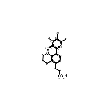 Cc1nc(-c2ccc(CCC(=O)O)c3c2OCCC3)c(=O)n(C)c1C